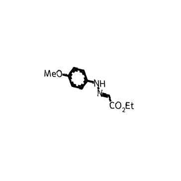 CCOC(=O)C=NNc1ccc(OC)cc1